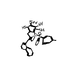 Cc1ccc(S(=O)(=O)Oc2c(S)c(S)c(S)c(S)c2CC(=O)c2cccc3ccccc23)cc1